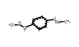 CNOc1ccc(ONC)cc1